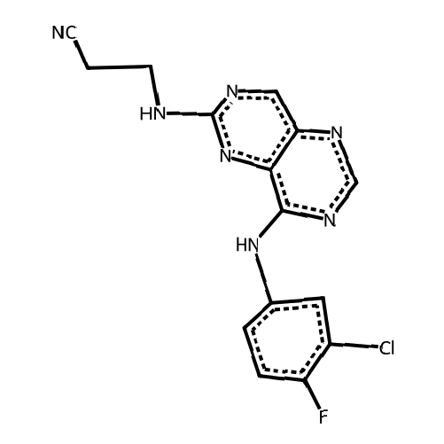 N#CCCNc1ncc2ncnc(Nc3ccc(F)c(Cl)c3)c2n1